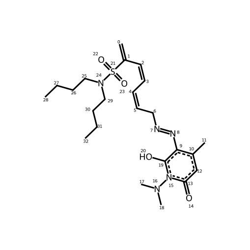 C=C(/C=C\C=C/C/N=N/c1c(C)cc(=O)n(N(C)C)c1O)S(=O)(=O)N(CCCC)CCCC